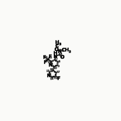 CON(C)C(=O)Nc1ccc(-c2cncc(F)c2)nc1C(F)(F)F